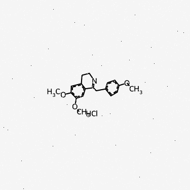 COc1ccc(CC2=NCCc3cc(OC)c(OC)cc32)cc1.Cl